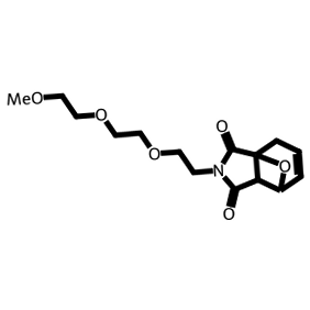 COCCOCCOCCN1C(=O)C2C3C=CCC2(O3)C1=O